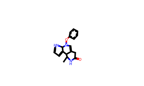 CC1NC(=O)CC2=CN(Oc3ccccc3)C3NC=CC=C3C21